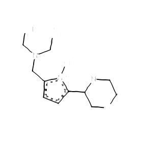 CCN(CC)Cc1ccc(C2COCC[N]2)n1C